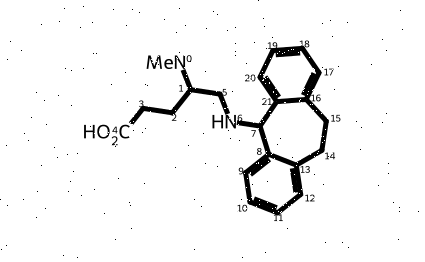 CNC(CCC(=O)O)CNC1c2ccccc2CCc2ccccc21